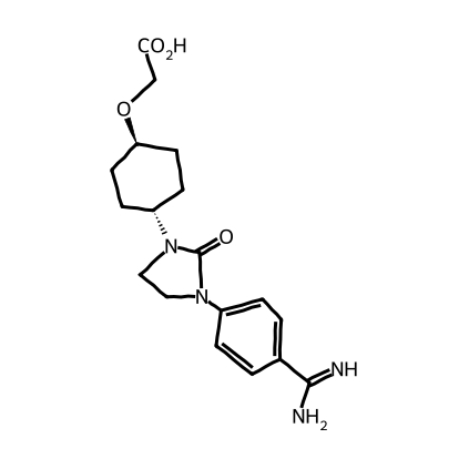 N=C(N)c1ccc(N2CCN([C@H]3CC[C@H](OCC(=O)O)CC3)C2=O)cc1